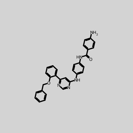 Nc1ccc(C(=O)Nc2ccc(Nc3cc(-c4ccccc4OCc4ccccc4)ncn3)cc2)cc1